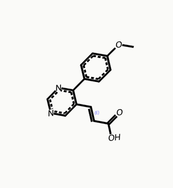 COc1ccc(-c2ncncc2/C=C/C(=O)O)cc1